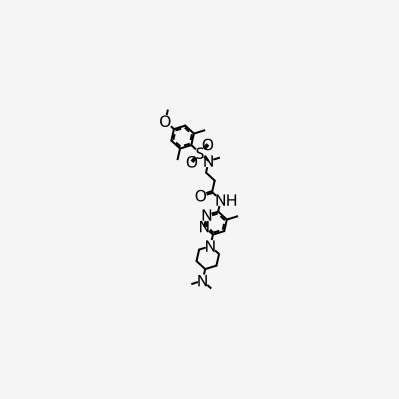 COc1cc(C)c(S(=O)(=O)N(C)CCC(=O)Nc2nnc(N3CCC(N(C)C)CC3)cc2C)c(C)c1